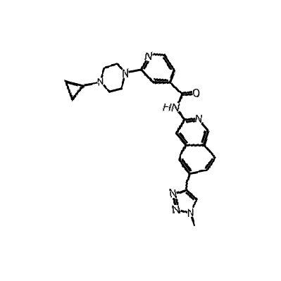 Cn1cc(-c2ccc3cnc(NC(=O)c4ccnc(N5CCN(C6CC6)CC5)c4)cc3c2)nn1